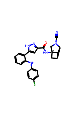 N#CN1C[C@@]2(NC(=O)c3cc(-c4ccccc4Nc4ccc(F)cc4)[nH]n3)CC3C1C32